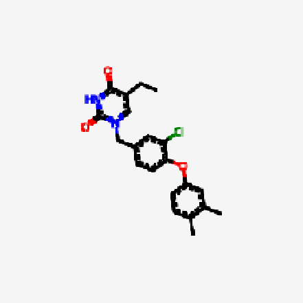 CCc1cn(Cc2ccc(Oc3ccc(C)c(C)c3)c(Cl)c2)c(=O)[nH]c1=O